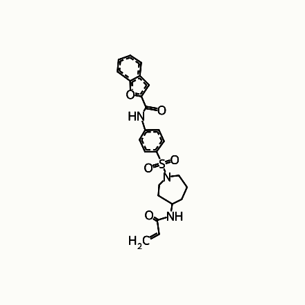 C=CC(=O)NC1CCCN(S(=O)(=O)c2ccc(NC(=O)c3cc4ccccc4o3)cc2)CC1